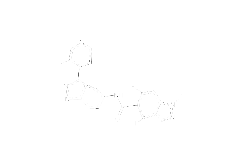 Cc1cnccc1-c1n[nH]c2ccc(NC(=O)c3c(F)cc4c(cnn4C)c3F)cc12